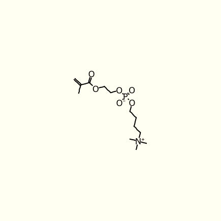 C=C(C)C(=O)OCCOP(=O)([O-])OCCCC[N+](C)(C)C